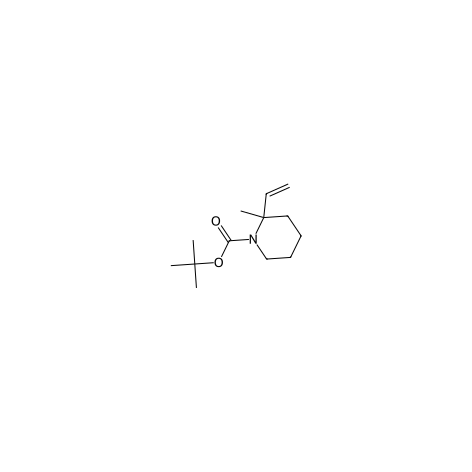 C=CC1(C)CCCCN1C(=O)OC(C)(C)C